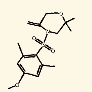 C=C1COC(C)(C)CN1S(=O)(=O)c1c(C)cc(OC)cc1C